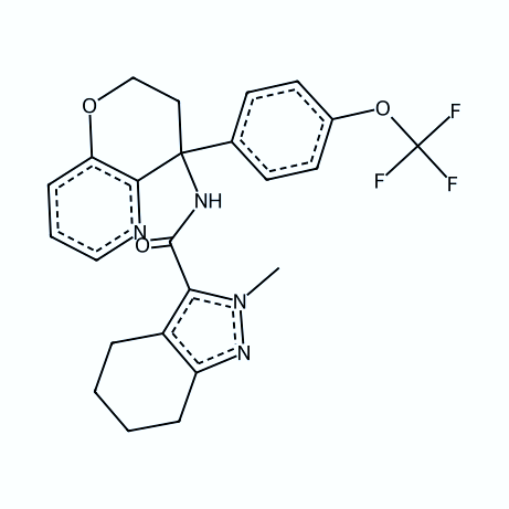 Cn1nc2c(c1C(=O)NC1(c3ccc(OC(F)(F)F)cc3)CCOc3cccnc31)CCCC2